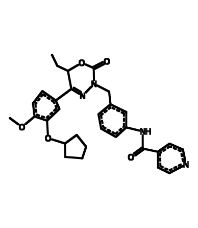 CCC1OC(=O)N(Cc2cccc(NC(=O)c3ccncc3)c2)N=C1c1ccc(OC)c(OC2CCCC2)c1